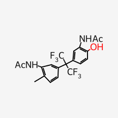 CC(=O)Nc1cc(C(c2ccc(O)c(NC(C)=O)c2)(C(F)(F)F)C(F)(F)F)ccc1C